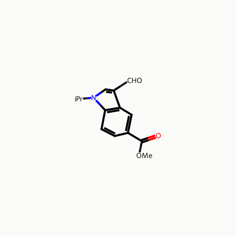 COC(=O)c1ccc2c(c1)c(C=O)cn2C(C)C